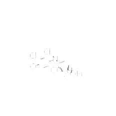 O=C(O)C1=CC(=O)C(Cl)=C(Cl)C1=Nc1ccc(O)cc1